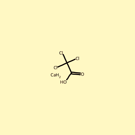 O=C(O)C(Cl)(Cl)Cl.[CaH2]